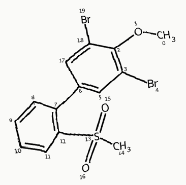 COc1c(Br)cc(-c2[c]cccc2S(C)(=O)=O)cc1Br